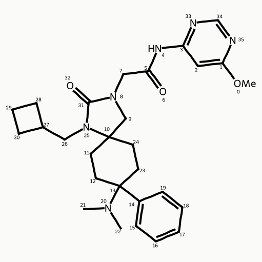 COc1cc(NC(=O)CN2CC3(CCC(c4ccccc4)(N(C)C)CC3)N(CC3CCC3)C2=O)ncn1